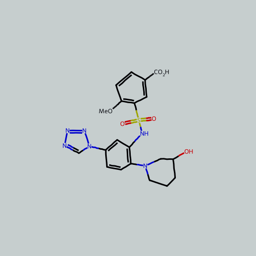 COc1ccc(C(=O)O)cc1S(=O)(=O)Nc1cc(-n2cnnn2)ccc1N1CCCC(O)C1